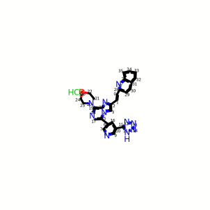 C(=C\c1cn2c(-c3cncc(-c4nnn[nH]4)c3)cnc(N3CCOCC3)c2n1)/c1ccc2ccccc2n1.Cl